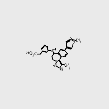 CC1=C2c3ccc(-c4cnn(C)c4)cc3C(Nc3cccc(CC(=O)O)c3)CCN2NN1